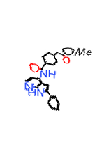 COC(=O)CC1CCC(C(=O)Nc2ccnc3[nH]c(-c4ccccc4)cc23)CC1